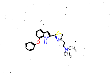 CN(C)CC[C@@H]1CSC(c2cc3cccc(Oc4ccccc4)c3[nH]2)=N1